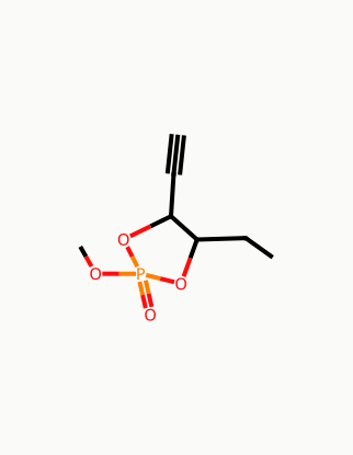 C#CC1OP(=O)(OC)OC1CC